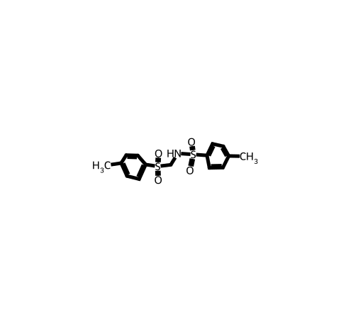 Cc1ccc(S(=O)(=O)CNS(=O)(=O)c2ccc(C)cc2)cc1